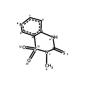 CN1C(=S)Nc2ccncc2S1(=O)=O